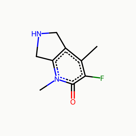 Cc1c2c(n(C)c(=O)c1F)CNC2